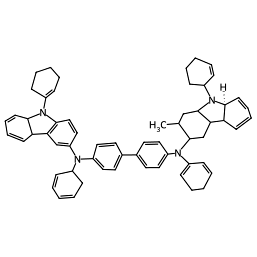 CC1CC2C(CC1N(C1=CCCC=C1)c1ccc(-c3ccc(N(c4ccc5c(c4)C4C=CC=CC4N5C4=CCCCC4)C4C=CC=CC4)cc3)cc1)C1C=CC=C[C@@H]1N2C1C=CCCC1